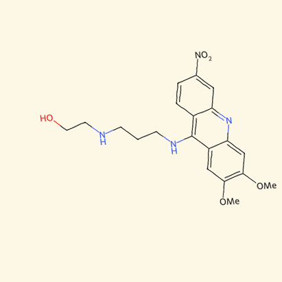 COc1cc2nc3cc([N+](=O)[O-])ccc3c(NCCCNCCO)c2cc1OC